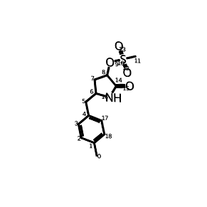 Cc1ccc(CC2CC(OS(C)(=O)=O)C(=O)N2)cc1